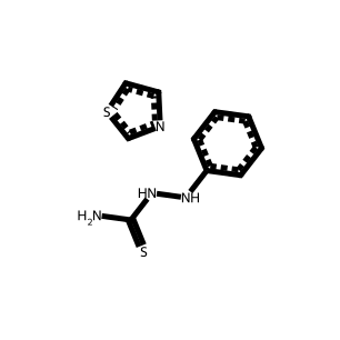 NC(=S)NNc1ccccc1.c1cscn1